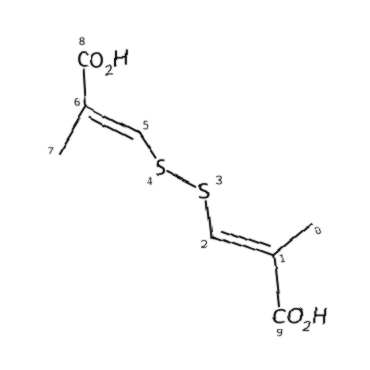 CC(=CSSC=C(C)C(=O)O)C(=O)O